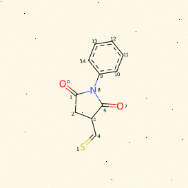 O=C1CC(C=S)C(=O)N1c1ccccc1